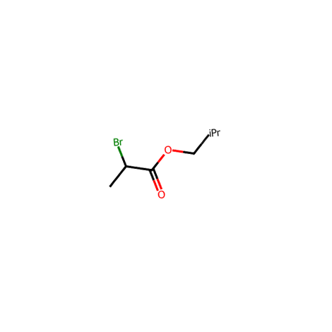 CC(C)COC(=O)C(C)Br